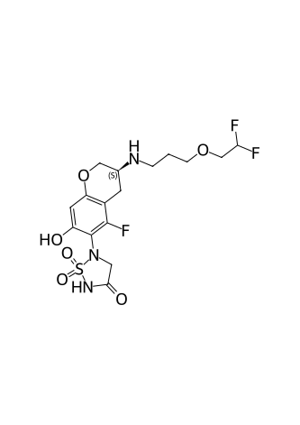 O=C1CN(c2c(O)cc3c(c2F)C[C@H](NCCCOCC(F)F)CO3)S(=O)(=O)N1